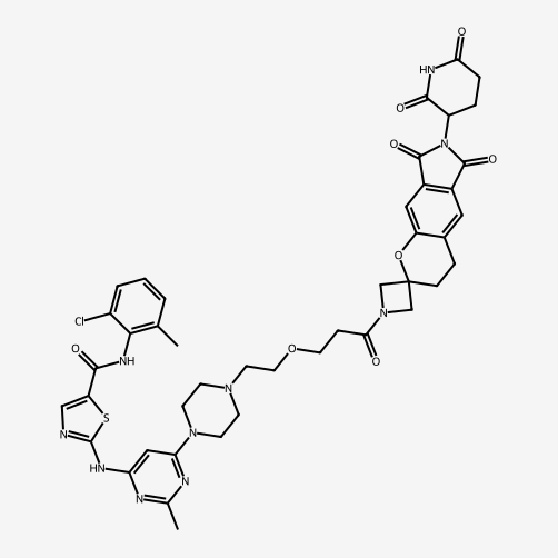 Cc1nc(Nc2ncc(C(=O)Nc3c(C)cccc3Cl)s2)cc(N2CCN(CCOCCC(=O)N3CC4(CCc5cc6c(cc5O4)C(=O)N(C4CCC(=O)NC4=O)C6=O)C3)CC2)n1